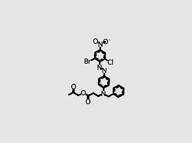 CC(=O)COC(=O)CCN(Cc1ccccc1)c1ccc(/N=N/c2c(Cl)cc([N+](=O)[O-])cc2Br)cc1